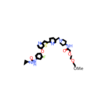 COCCOCCOCC(=O)NC1CCN(Cc2ccc(-c3cc4nccc(Oc5ccc(NC(=O)NC6CC6)cc5F)c4s3)nc2)CC1